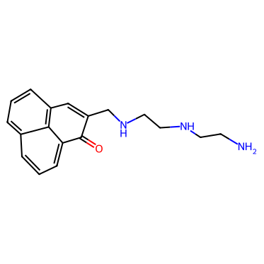 NCCNCCNCC1=Cc2cccc3cccc(c23)C1=O